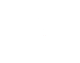 CC1(C)OC(C)(C)C(C(N)=O)C1O